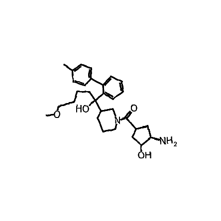 COCCCCC(O)(c1ccccc1-c1ccc(C)cc1)C1CCCN(C(=O)C2CC(N)C(O)C2)C1